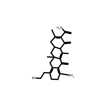 C=C(N)C1=C(C)CC2CC3(C)CC4=C(CCC(C)C)CCC(N)=C4C(=C)C3=C(C)C2C1=C